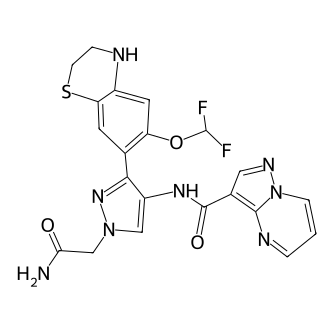 NC(=O)Cn1cc(NC(=O)c2cnn3cccnc23)c(-c2cc3c(cc2OC(F)F)NCCS3)n1